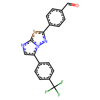 O=Cc1ccc(-c2nn3c(-c4ccc(C(F)(F)F)cc4)cnc3s2)cc1